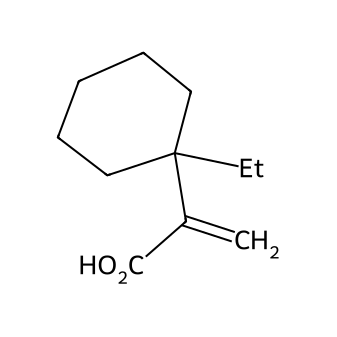 C=C(C(=O)O)C1(CC)CCCCC1